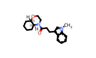 Cn1cc(CCC(=O)N2CCO[C@H]3CCCC[C@@H]32)c2ccccc21